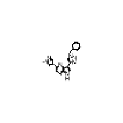 Cn1cc(-c2cnc3[nH]cc(-c4cn(Cc5ccccc5)nn4)c3n2)cn1